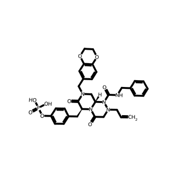 C=CCN1CC(=O)N2[C@@H](Cc3ccc(OP(=O)(O)O)cc3)C(=O)N(Cc3ccc4c(c3)OCCO4)C[C@@H]2N1C(=O)NCc1ccccc1